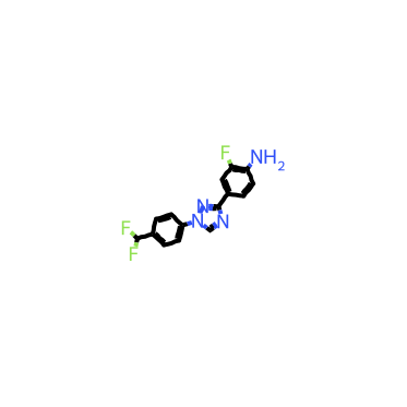 Nc1ccc(-c2ncn(-c3ccc(C(F)F)cc3)n2)cc1F